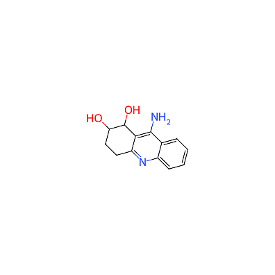 Nc1c2c(nc3ccccc13)CCC(O)C2O